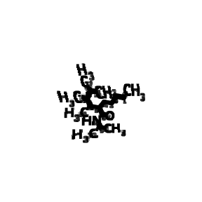 CCCCCC(C(=O)NC(C)C)C(C)C(C)C(C)C